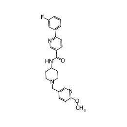 COc1ccc(CN2CCC(NC(=O)c3ccc(-c4cccc(F)c4)nc3)CC2)cn1